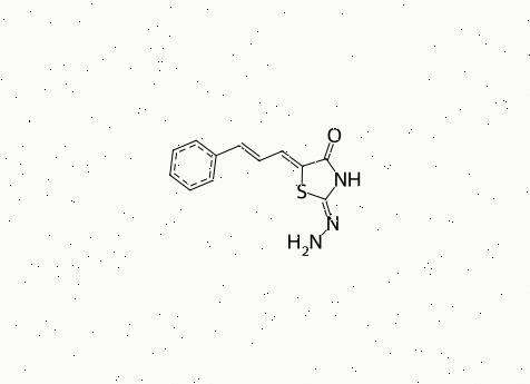 NN=C1NC(=O)C(=CC=Cc2ccccc2)S1